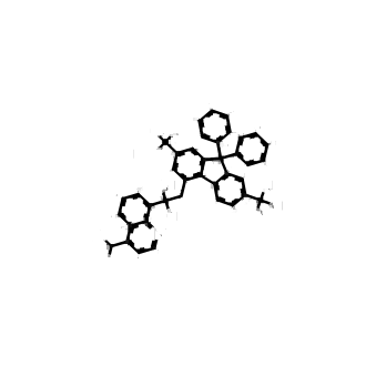 CC(C)c1ccnc2c(C(C)(C)Cc3cc(C(C)(C)C)cc4c3-c3ccc(C(C)(C)C)cc3C4(c3ccccc3)c3ccccc3)cccc12